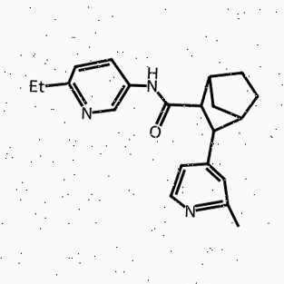 CCc1ccc(NC(=O)C2C3CCC(C3)C2c2ccnc(C)c2)cn1